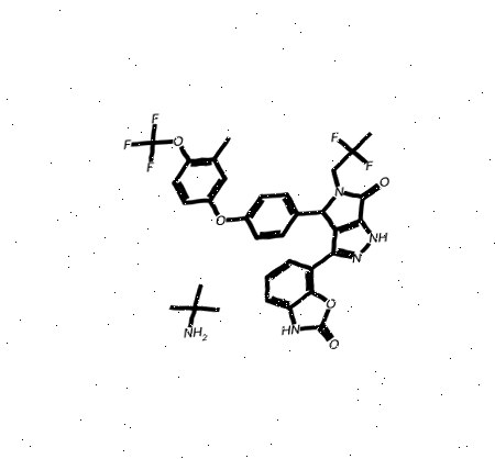 CC(C)(C)N.Cc1cc(Oc2ccc(C3c4c(-c5cccc6[nH]c(=O)oc56)n[nH]c4C(=O)N3CC(C)(F)F)cc2)ccc1OC(F)(F)F